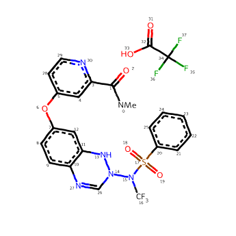 CNC(=O)c1cc(Oc2ccc3c(c2)NN(N(C(F)(F)F)S(=O)(=O)c2ccccc2)C=N3)ccn1.O=C(O)C(F)(F)F